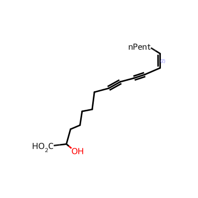 CCCCC/C=C\C#CC#CCCCCCC(O)C(=O)O